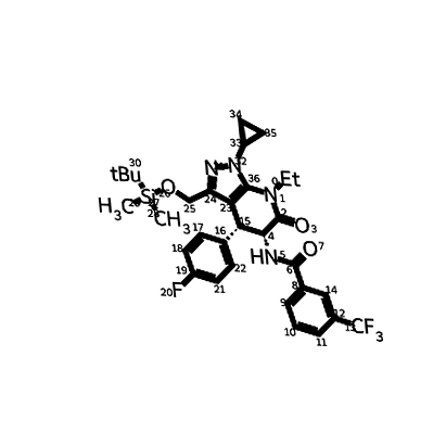 CCN1C(=O)[C@H](NC(=O)c2cccc(C(F)(F)F)c2)[C@H](c2ccc(F)cc2)c2c(CO[Si](C)(C)C(C)(C)C)nn(C3CC3)c21